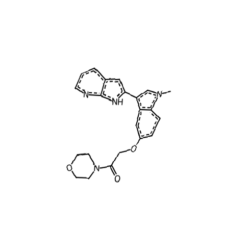 Cn1cc(-c2cc3cccnc3[nH]2)c2cc(OCC(=O)N3CCOCC3)ccc21